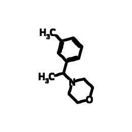 Cc1cccc(C(C)N2CCOCC2)c1